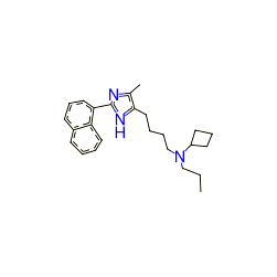 CCCN(CCCCc1[nH]c(-c2cccc3ccccc23)nc1C)C1CCC1